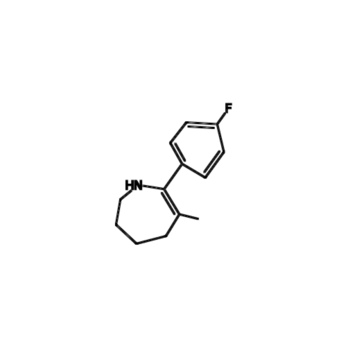 CC1=C(c2ccc(F)cc2)NCCCC1